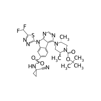 C[C@@H]1CN(C(=O)OC(C)(C)C)[C@@H](C)CN1c1ncnc2c1c1ccc(S(=O)(=O)NC3(C#N)CC3)cc1n2-c1nnc(C(F)F)s1